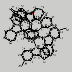 Cc1ccc2c(c1)c1ccccc1n2-c1nc(-n2c3ccccc3c3cc(C)ccc32)c(-n2c3ccccc3c3cc(C)ccc32)c(-c2ccccc2-c2nc3ccccc3n2-c2ccccc2)c1-n1c2ccccc2c2cc(C)ccc21